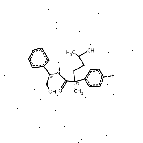 CC(C)CC[C@](C)(C(=O)N[C@@H](CO)c1ccccc1)c1ccc(F)cc1